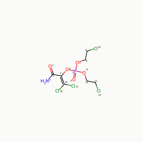 NC(=O)C(OP(=O)(OCCCl)OCCCl)=C(Cl)Cl